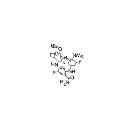 CNc1ncc(Nc2nc(N[C@H](C3CCC3)[C@H](C)NC(=O)OC(C)(C)C)c(F)cc2C(N)=O)cc1F